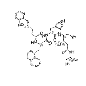 CC[C@H](C)[C@@H](CO)NC(=O)C[C@H](O)[C@H](CC(C)C)NC(=O)[C@H](Cc1c[nH]cn1)NC(=O)[C@H](Cc1cccc2ccccc12)NC(=O)CCSSc1ncccc1[N+](=O)[O-]